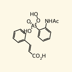 CC(=O)Nc1ccccc1[As](=O)(O)OO.O=C(O)C=Cc1ccccc1